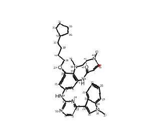 C=CC(=O)Nc1cc(Nc2nccc(-c3cn(C)c4ccccc34)n2)cc(OCCCCC2CCCC2)c1N(C)CCN(C)C